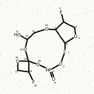 O=[PH]1OCC2OCC(F)C2OCC(O)OC2(OCC2F)O1